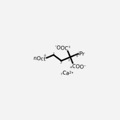 CCCCCCCCCCC(C(=O)[O-])(C(=O)[O-])C(C)C.[Ca+2]